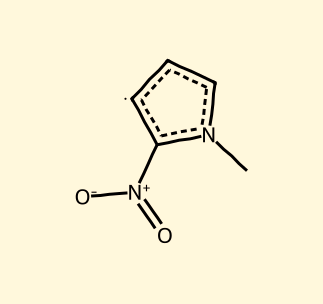 Cn1cc[c]c1[N+](=O)[O-]